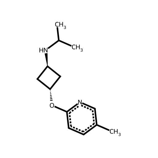 Cc1ccc(O[C@H]2C[C@H](NC(C)C)C2)nc1